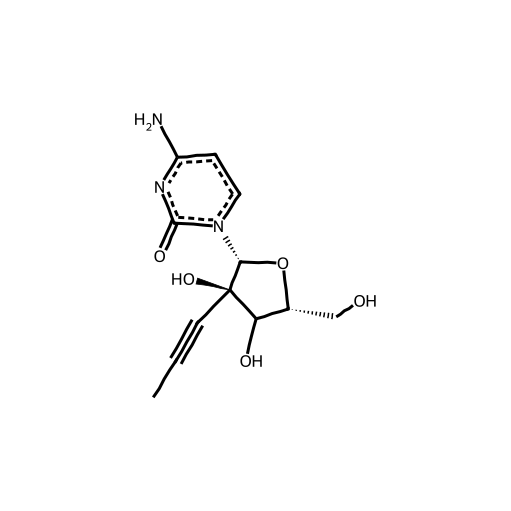 CC#C[C@@]1(O)C(O)[C@@H](CO)O[C@H]1n1ccc(N)nc1=O